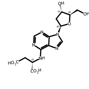 O=C(O)C[C@H](Nc1ncnc2c1ncn2[C@H]1C[C@H](O)[C@@H](CO)O1)C(=O)O